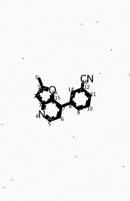 Cc1cc2nccc(-c3cccc(C#N)c3)c2o1